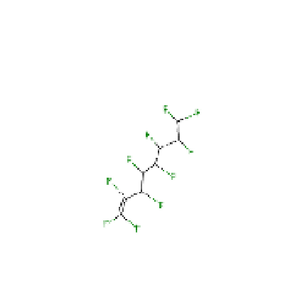 FC(F)=C(F)C(F)C(F)C(F)C(F)C(F)C(F)F